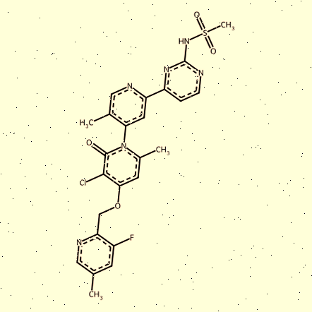 Cc1cnc(COc2cc(C)n(-c3cc(-c4ccnc(NS(C)(=O)=O)n4)ncc3C)c(=O)c2Cl)c(F)c1